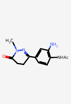 CC(=O)Nc1ccc(C2=NN(C)C(=O)CC2)cc1N